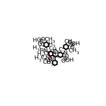 Cc1cc(C)c(S(=O)(=O)O)c(C)c1/N=c1\cc2oc3cc(Nc4c(C)cc(C)c(S(=O)(=O)O)c4C)ccc3c(-c3ccccc3S(=O)(=O)N(C(C)C)C(C)C)c-2cc1S(=O)(=O)O